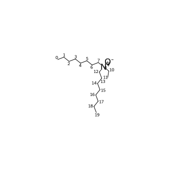 CCCCCCCC[N+]([O-])(CC)CCCCCCCC